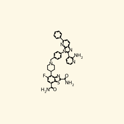 NC(=O)c1nc2c(C3CCN(Cc4ccc(-n5c(-c6cccnc6N)nc6ccc(-c7ccccc7)nc65)cc4)CC3)c(F)cc(C(N)=O)c2s1